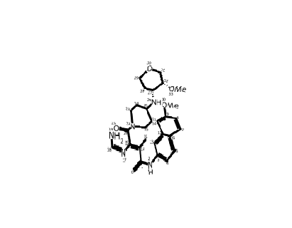 C=C(Nc1ccc2ccc(OC)cc2c1)/C(C)=C(\N=C/N)C(=O)N1CCC(N[C@@H]2CCOC[C@@H]2OC)CC1